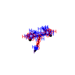 C[C@@H]1NC(=O)[C@H](CCCNC(=N)N)NC(=O)[C@H](CCCCNC(=O)CCN(CCC(=O)NCCCC[C@@H]2NC(=O)[C@@H](Cc3ccccc3)NC(=O)[C@H](CC(=O)O)NC(=O)[C@H](C)NC(=O)[C@H](CCCNC(=N)N)NC2=O)C(=O)CCOCCOCCOCCOCCNC(=O)n2cc(CCCI)nn2)NC(=O)[C@@H](Cc2ccccc2)NC(=O)[C@H](CC(=O)O)NC1=O